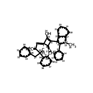 C=C(/C=C1\C(=O)C(c2c(-c3ccccc3)n(C)c3ccccc23)=C1O)C(C)(Cc1ccccc1)c1ccccc1C